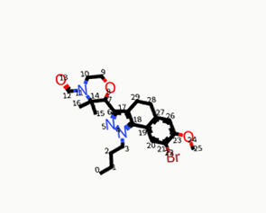 CCCCn1nc(C2OCCN(C=O)C2(C)C)c2c1-c1cc(Br)c(OC)cc1CC2